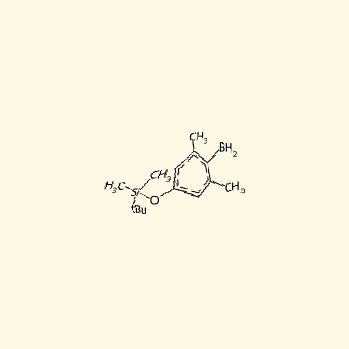 Bc1c(C)cc(O[Si](C)(C)C(C)(C)C)cc1C